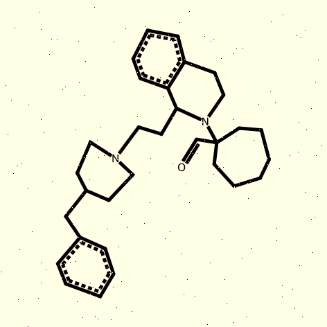 O=CC1(N2CCc3ccccc3C2CCN2CCC(Cc3ccccc3)CC2)CCCCCC1